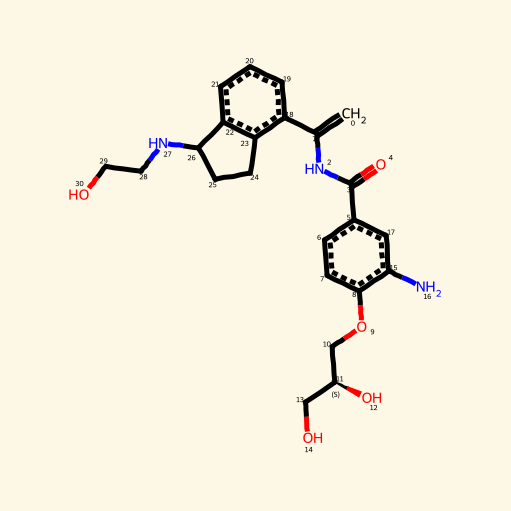 C=C(NC(=O)c1ccc(OC[C@@H](O)CO)c(N)c1)c1cccc2c1CCC2NCCO